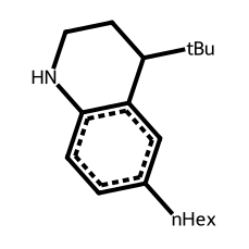 CCCCCCc1ccc2c(c1)C(C(C)(C)C)CCN2